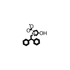 COC(=O)[C@@H]1C[C@H](O)CN1CC(c1ccccc1)c1ccccc1